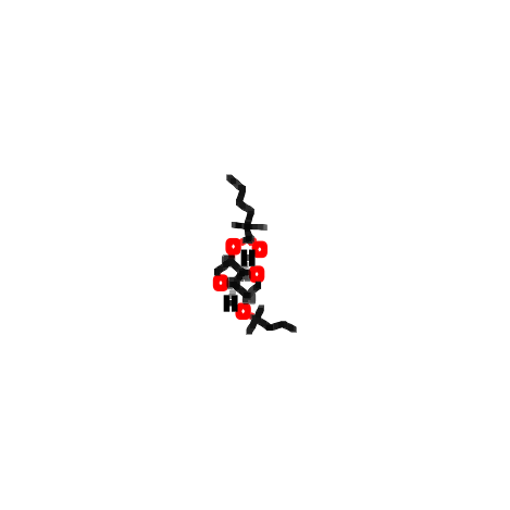 CCCCC(C)(C)C(=O)O[C@@H]1CO[C@H]2[C@@H]1OC[C@@H]2OC(C)(C)CCC